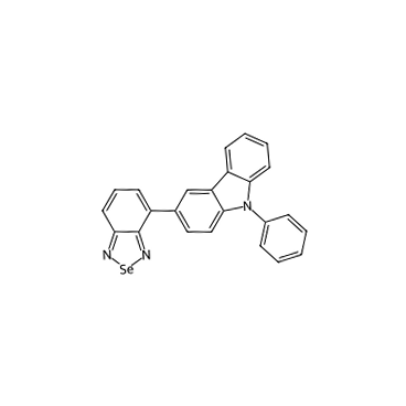 c1ccc(-n2c3ccccc3c3cc(-c4cccc5n[se]nc45)ccc32)cc1